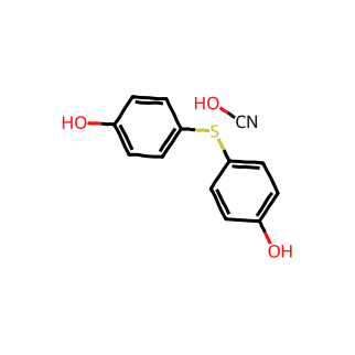 N#CO.Oc1ccc(Sc2ccc(O)cc2)cc1